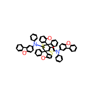 c1ccc(N(c2ccc3oc4ccccc4c3c2)c2cc3c(s2)C2(c4ccccc4Oc4ccccc42)c2cc(N(c4ccccc4)c4ccc5oc6ccccc6c5c4)sc2C32c3ccccc3Oc3ccccc32)cc1